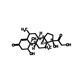 CC1C[C@H]2[C@@H]3CC[C@](O)(C(=O)CO)[C@@]3(C)CC[C@@H]2[C@]2(C)C1=CC(=O)CC2O